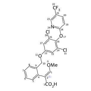 CO/C=C(/C(=O)O)c1ccccc1COc1cc(Cl)c(Oc2ccc(C(F)(F)F)cn2)c(Cl)c1